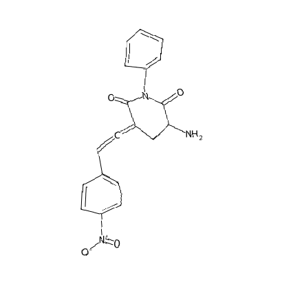 NC1CC(=C=Cc2ccc([N+](=O)[O-])cc2)C(=O)N(c2ccccc2)C1=O